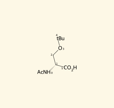 CC(=O)N[C@H](COC(C)(C)C)C(=O)O